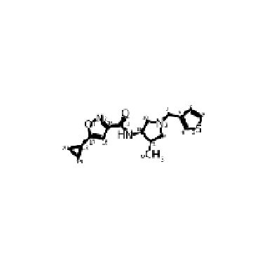 C[C@@H]1CN(Cc2ccsc2)C[C@@H]1NC(=O)c1cc(C2CC2)on1